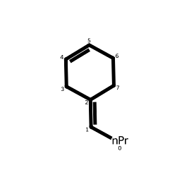 CCC/C=C1/CC=CCC1